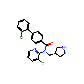 O=C(c1ccc(-c2ccccc2Cl)cc1)N(C[C@@H]1CCNC1)c1ncccc1Cl